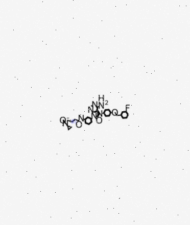 CN(C(=O)/C=C/C[N+](C)([O-])C1CC1)c1cccc(-n2c(=O)n(-c3ccc(OCc4cccc(F)c4)cc3)c3c(N)ncnc32)c1